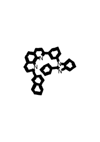 c1ccc(-c2nc3ccccc3n2-c2cccc(-c3ccc4ccc5ccc(-c6ccc7ccccc7c6)nc5c4n3)c2)cc1